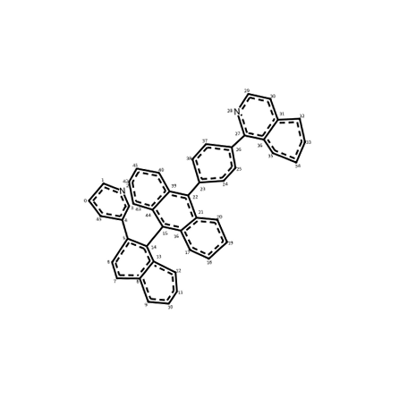 c1cncc(-c2ccc3ccccc3c2-c2c3ccccc3c(-c3ccc(-c4nccc5ccccc45)cc3)c3ccccc23)c1